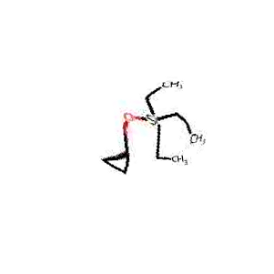 CC[Si](CC)(CC)OC1CC1